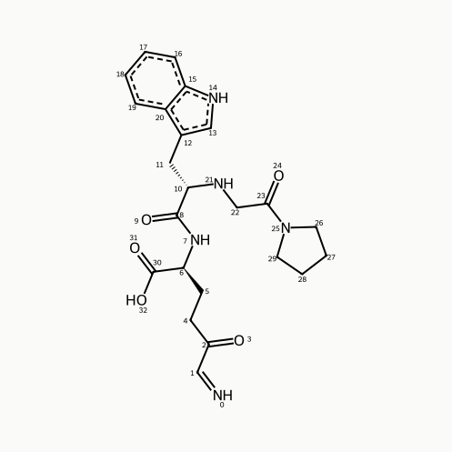 N=CC(=O)CC[C@H](NC(=O)[C@H](Cc1c[nH]c2ccccc12)NCC(=O)N1CCCC1)C(=O)O